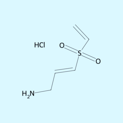 C=CS(=O)(=O)C=CCN.Cl